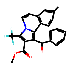 COC(=O)c1c(C(=O)c2ccccc2)c2c3ccc(C)cc3ccn2c1C(F)(F)F